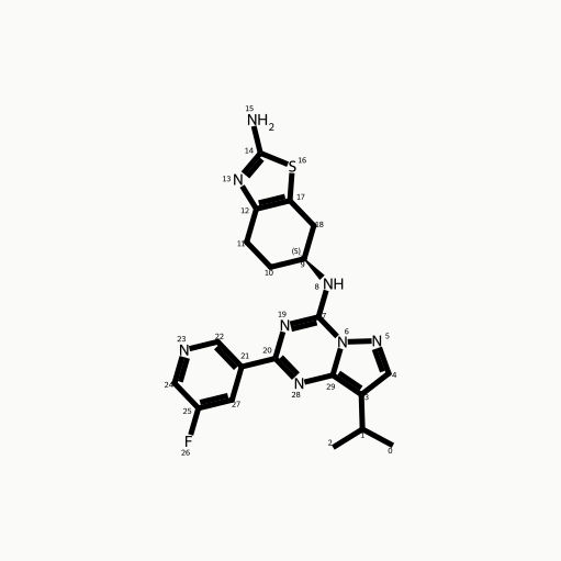 CC(C)c1cnn2c(N[C@H]3CCc4nc(N)sc4C3)nc(-c3cncc(F)c3)nc12